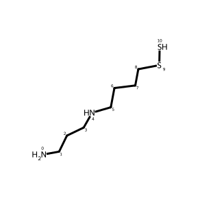 NCCCNCCCCSS